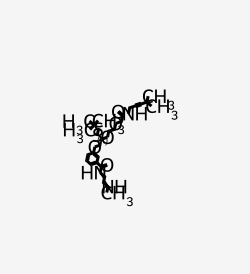 CNCCNC(=O)c1cccc(OC[C@H](OCCOCC(=O)NCC#CC(C)C)SSC(C)(C)C)c1